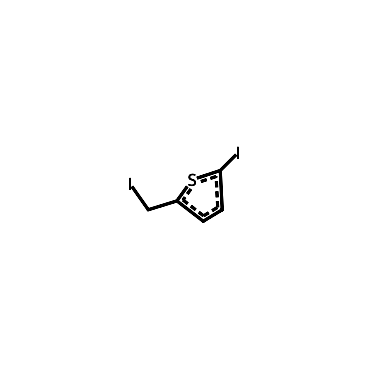 ICc1ccc(I)s1